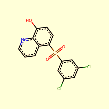 O=S(=O)(c1cc(Cl)cc(Cl)c1)c1ccc(O)c2ncccc12